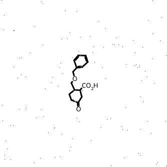 O=C1CCC(COCc2ccccc2)C(C(=O)O)C1